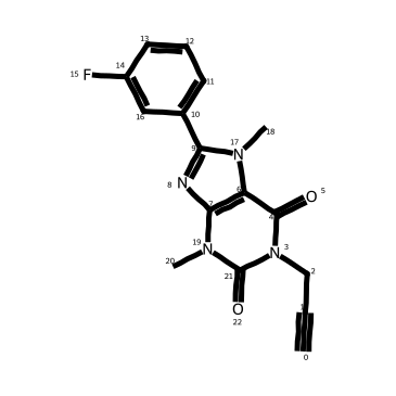 C#CCn1c(=O)c2c(nc(-c3cccc(F)c3)n2C)n(C)c1=O